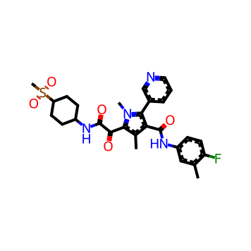 Cc1cc(NC(=O)c2c(C)c(C(=O)C(=O)NC3CCC(S(C)(=O)=O)CC3)n(C)c2-c2cccnc2)ccc1F